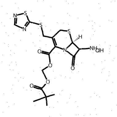 CC(C)(C)C(=O)OCOC(=O)C1=C(CSc2ncns2)CS[C@H]2C(N)C(=O)N12.Cl